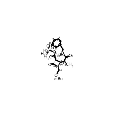 C[C@H](C(=O)OCc1ccccc1)[C@@H]1[C@@H]([C@@](C)(O[SiH](C)C)C(C)(C)C)C(=O)N1COC(C)(C)C